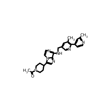 CC(=O)N1CCC(c2cnc3c(NCc4cnc(-c5ccnc(C)c5)c(C)c4)nccn23)CC1